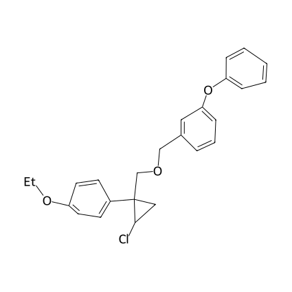 CCOc1ccc(C2(COCc3cccc(Oc4ccccc4)c3)CC2Cl)cc1